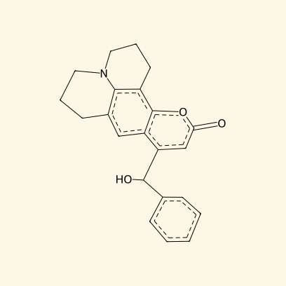 O=c1cc(C(O)c2ccccc2)c2cc3c4c(c2o1)CCCN4CCC3